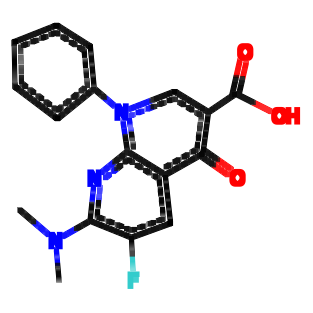 CN(C)c1nc2c(cc1F)c(=O)c(C(=O)O)cn2-c1ccccc1